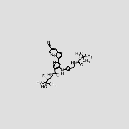 CC(C)(C)OC(=O)NCC12CC(Nc3cc(-c4ccc5cc(C#N)cnn45)ncc3C(=O)NC[C@@H](F)C(C)(C)O)(C1)C2